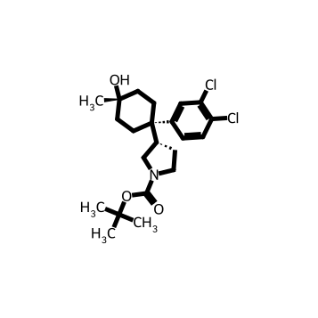 CC(C)(C)OC(=O)N1CC[C@@H]([C@]2(c3ccc(Cl)c(Cl)c3)CC[C@@](C)(O)CC2)C1